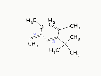 C=C(C)/C(=C\C(=C/C)OC)C(C)(C)C